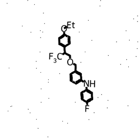 CCOc1ccc(C(COCc2cccc(Nc3ccc(F)cc3)c2)C(F)(F)F)cc1